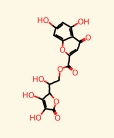 O=C1OC(C(O)COC(=O)c2cc(=O)c3c(O)cc(O)cc3o2)C(O)=C1O